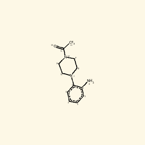 Nc1ccccc1N1CCN(C(=O)C(F)(F)F)CC1